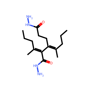 CCCC(C)=C(CCC(=O)NN)C(C(=O)NN)=C(C)CCC